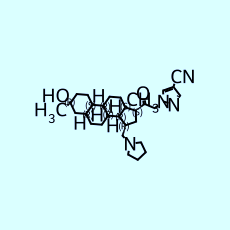 C[C@@]1(O)CC[C@H]2[C@H](CC[C@@H]3[C@@H]2CC[C@@]2(C)[C@H]3[C@H](CN3CCCC3)C[C@@H]2C(=O)Cn2cc(C#N)cn2)C1